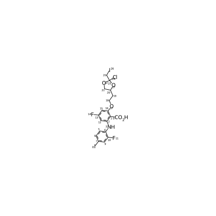 O=C(O)c1c(Nc2ccc(I)cc2F)cc(F)cc1OCCC1COC(Cl)(CI)O1